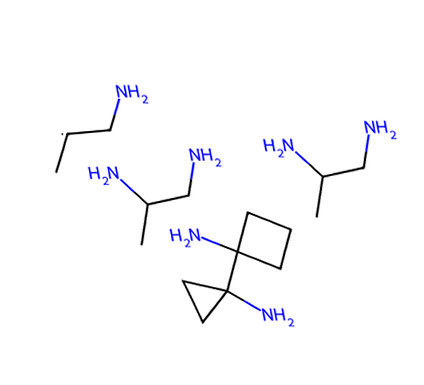 CC(N)CN.CC(N)CN.C[CH]CN.NC1(C2(N)CC2)CCC1